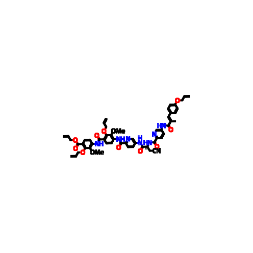 C=CCOC(=O)c1ccc(NC(=O)c2ccc(NC(=O)c3ccc(NC(=O)[C@H](CC#N)NC(=O)c4ccc(NC(=O)C(C)=Cc5ccc(OCC=C)cc5)cn4)cn3)c(OC)c2OCC=C)c(OC)c1OCC=C